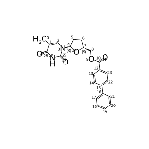 Cc1cn([C@H]2CC[C@@H](COC(=O)c3ccc(-c4ccccc4)cc3)O2)c(=O)[nH]c1=O